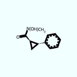 CN(O)C(=O)[C@@H]1C[C@H]1c1ccccc1